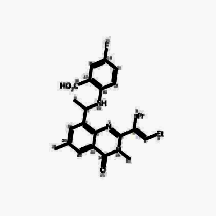 CC/C=C(\CCC)c1nc2c(C(C)Nc3ccc(F)cc3C(=O)O)cc(C)cc2c(=O)n1C